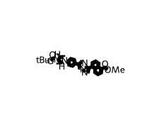 COC(=O)c1cccc2c(-c3cnn4cc(-c5ccc(N6C[C@@H]7C[C@H]6CN7C(=O)OC(C)(C)C)cc5)cnc34)cccc12